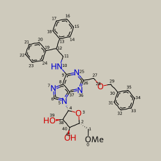 COC[C@H]1O[C@@H](n2cnc3c(NCC(c4ccccc4)c4ccccc4)nc(COCc4ccccc4)nc32)[C@H](O)[C@@H]1O